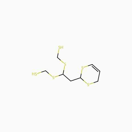 SCSC(CC1SC=CCS1)SCS